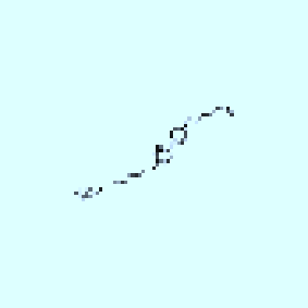 CCCCCCCCCCc1cnc(-c2ccc(OCCCCC3CC3)cc2)nc1